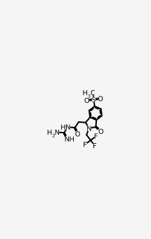 CS(=O)(=O)c1ccc2c(c1)C(CC(=O)NC(=N)N)N(CC(F)(F)F)C2=O